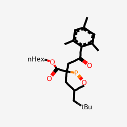 CCCCCCOC(=O)C(CC(=O)c1c(C)cc(C)cc1C)(CC(C)CC(C)(C)C)P=O